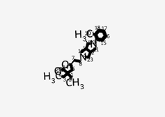 CCC1(CC)C[C@H](CCN2CC3CN(c4ccccc4C)CC3C2)OC1=O